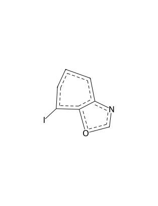 Ic1cccc2ncoc12